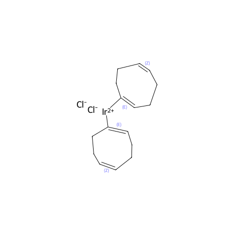 C1=C\CC/[C]([Ir+2]/[C]2=C/CC/C=C\CC2)=C\CC/1.[Cl-].[Cl-]